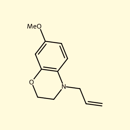 C=CCN1CCOc2cc(OC)ccc21